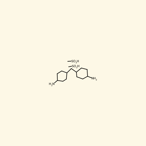 CS(=O)(=O)O.CS(=O)(=O)O.NC1CCC(CC2CCC(N)CC2)CC1